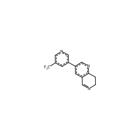 FC(F)(F)c1cncc(-c2cnc3c(c2)C=NCC3)c1